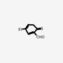 CCC1=CCC(=S)C(C=O)=C1